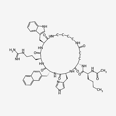 CCCC[C@H](NC(C)=O)C(=O)N[C@H]1CCC(=O)NCCCCNC(=O)[C@H](Cc2c[nH]c3ccccc23)NC(=O)[C@H](CCCNC(=N)N)NC(=O)[C@@H](Cc2ccc3ccccc3c2)NC(=O)[C@H](Cc2c[nH]cn2)NC1=O